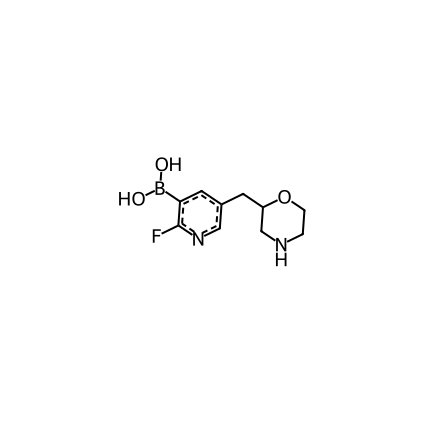 OB(O)c1cc(CC2CNCCO2)cnc1F